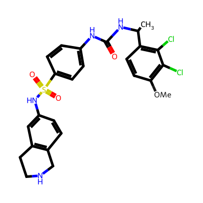 COc1ccc(C(C)NC(=O)Nc2ccc(S(=O)(=O)Nc3ccc4c(c3)CCNC4)cc2)c(Cl)c1Cl